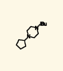 CCC(C)N1CCN(C2CCCC2)CC1